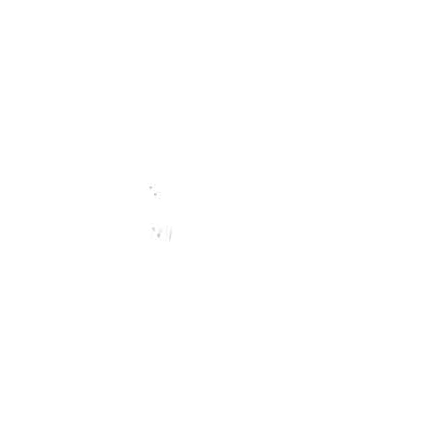 Nc1nccc2cc3c(cc12)CCCC3